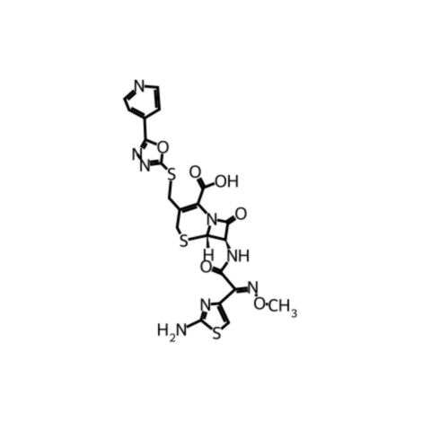 CON=C(C(=O)N[C@@H]1C(=O)N2C(C(=O)O)=C(CSc3nnc(-c4ccncc4)o3)CS[C@@H]12)c1csc(N)n1